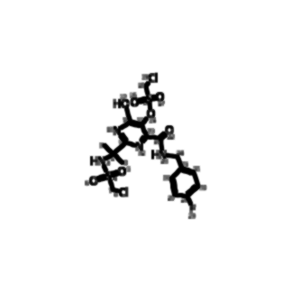 CC(C)(NS(=O)(=O)CCl)c1nc(O)c(OS(=O)(=O)CCl)c(C(=O)NCc2ccc(F)cc2)n1